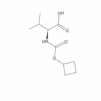 CC(C)[C@H](NC(=O)OC1CCC1)C(=O)O